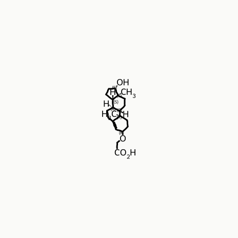 C[C@]12CC[C@H]3[C@@H](CCC4=C[C@H](OCC(=O)O)CC[C@@]43C)[C@@H]1CC[C@@H]2O